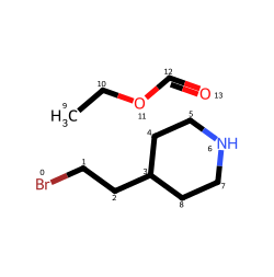 BrCCC1CCNCC1.CCOC=O